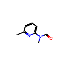 [CH2]c1cccc(N(C)C=O)n1